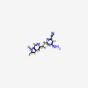 Cc1cc2cc(C(C)Sc3nc(N)cc(C#N)n3)ncc2n1C